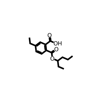 CCCC(CC)OC(=O)c1ccc(CC)cc1C(=O)O